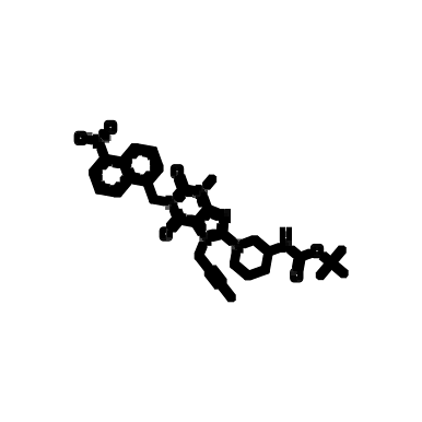 CC#CCn1c(N2CCCC(NC(=O)OC(C)(C)C)C2)nc2c1c(=O)n(Cc1cccc3c([N+](=O)[O-])cccc13)c(=O)n2C